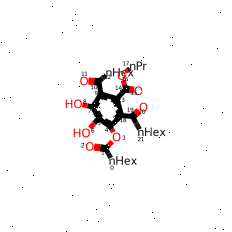 CCCCCCC(=O)Oc1c(O)c(O)c(C(=O)CCCCCC)c(C(=O)OCCC)c1C(=O)CCCCCC